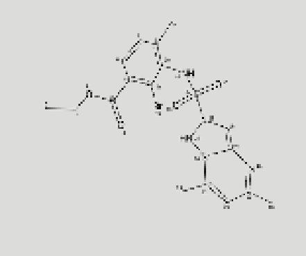 CCOC(=O)c1ccc(C)c(NS(=O)(=O)N2C=C3N=C(C)C=C(C)N3N2)c1Br